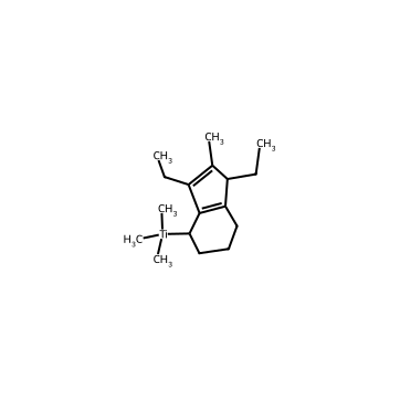 CCC1=C(C)C(CC)C2=C1[CH]([Ti]([CH3])([CH3])[CH3])CCC2